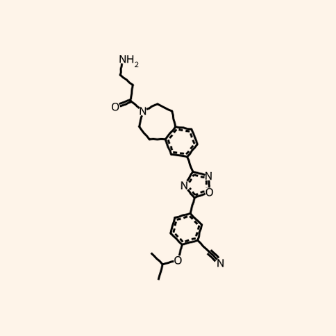 CC(C)Oc1ccc(-c2nc(-c3ccc4c(c3)CCN(C(=O)CCN)CC4)no2)cc1C#N